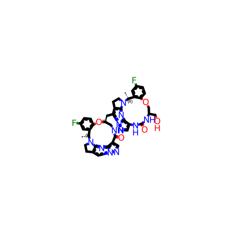 C[C@@H]1c2cc(F)ccc2O[C@@H](Cc2c3c4nc5c(cnn25)NC(=O)NC(CO)COc2ccc(F)cc2[C@@H](C)N4CC3)CNC(=O)c2cnn3cc4c(nc23)N1CC4